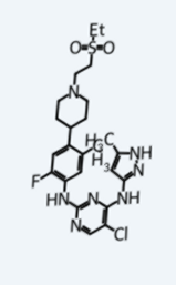 CCS(=O)(=O)CCN1CCC(c2cc(F)c(Nc3ncc(Cl)c(Nc4cc(C)[nH]n4)n3)cc2C)CC1